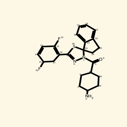 NC1CCC(C(=O)N2N=C(C3=C(F)C=CC(F)C3)SC23CCc2ccccc23)CC1